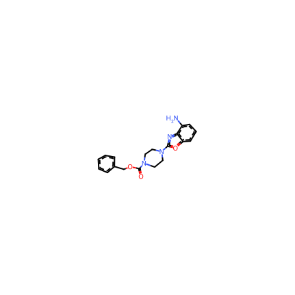 Nc1cccc2oc(N3CCN(C(=O)OCc4ccccc4)CC3)nc12